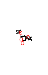 C[Si](C)(C)OC[C@@H]1C[C@H](O[Si](C)(C)C)CC(=O)O1